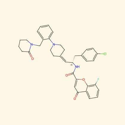 O=C(N[C@H](C=C1CCN(c2ccccc2CN2CCCCC2=O)CC1)Cc1ccc(Cl)cc1)c1cc(=O)c2cccc(F)c2o1